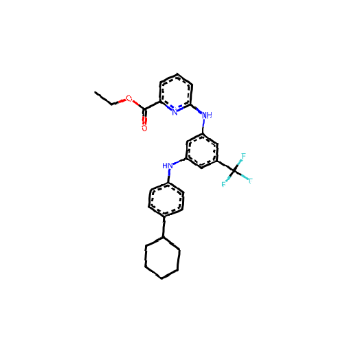 CCOC(=O)c1cccc(Nc2cc(Nc3ccc(C4CCCCC4)cc3)cc(C(F)(F)F)c2)n1